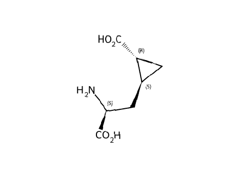 N[C@@H](C[C@@H]1C[C@H]1C(=O)O)C(=O)O